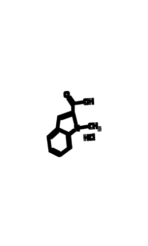 Cl.Cn1c(C(=O)O)cc2ccccc21